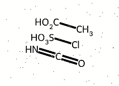 CC(=O)O.N=C=O.O=S(=O)(O)Cl